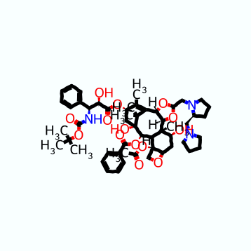 CC(=O)O[C@@]12COC1C[C@H](O)[C@@]1(C)[C@@H]3OC(CN4CCC[C@H]4CN4CCCC4)O[C@@H]3C3=C(C)[C@@H](OC(=O)[C@H](O)[C@@H](NC(=O)OC(C)(C)C)c4ccccc4)C[C@@](O)([C@@H](OC(=O)c4ccccc4)[C@@H]12)C3(C)C